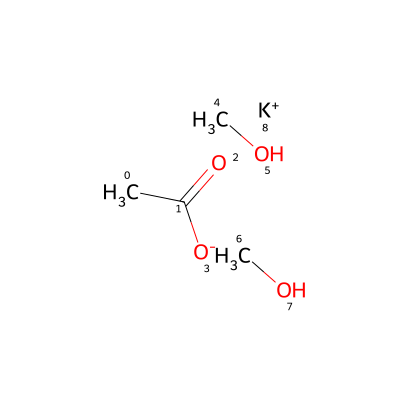 CC(=O)[O-].CO.CO.[K+]